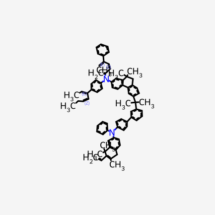 C=CC1=C(C)Cc2ccc(N(c3ccccc3)c3ccc(-c4cccc(C(C)(C)c5ccc6c(c5)-c5ccc(N(C(=C)/C=C\C(=C/C)c7ccccc7)c7ccc(C(/C=C\CC)=C/C)cc7)cc5C(C)(C)C6)c4)cc3)cc2C1(C)C